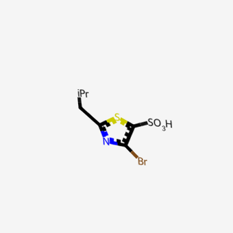 CC(C)Cc1nc(Br)c(S(=O)(=O)O)s1